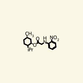 CC(C)C1CC[C@@H](C)C[C@H]1OC(=O)CNc1ccccc1[N+](=O)[O-]